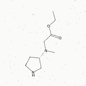 CCOC(=O)CN(C)[C@H]1CCNC1